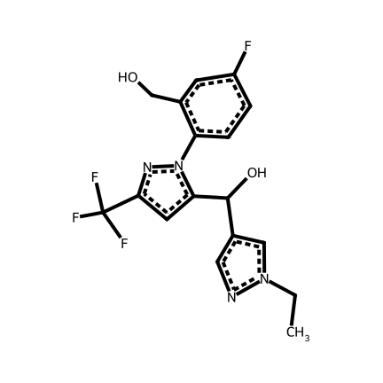 CCn1cc(C(O)c2cc(C(F)(F)F)nn2-c2ccc(F)cc2CO)cn1